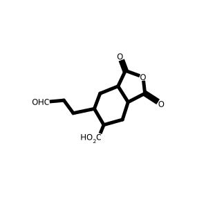 O=CCCC1CC2C(=O)OC(=O)C2CC1C(=O)O